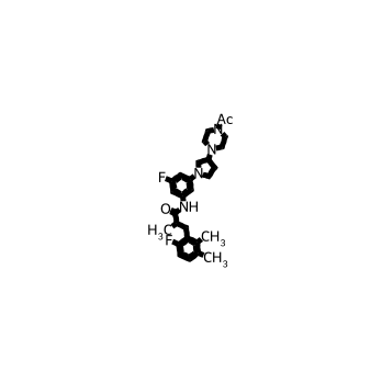 CC(=O)N1CCN(C2CCN(c3cc(F)cc(NC(=O)C(C)Cc4c(F)ccc(C)c4C)c3)C2)CC1